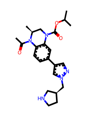 CC(=O)N1c2ccc(-c3cnn(C[C@H]4CCNC4)c3)cc2N(C(=O)OC(C)C)C[C@@H]1C